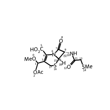 COC(OC(C)=O)C1=C(C(=O)O)N2C(=O)[C@H](NC(=O)CSC)[C@H]2SC1